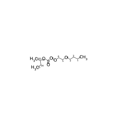 CCCCOCCOOC(=O)OC(C)CC